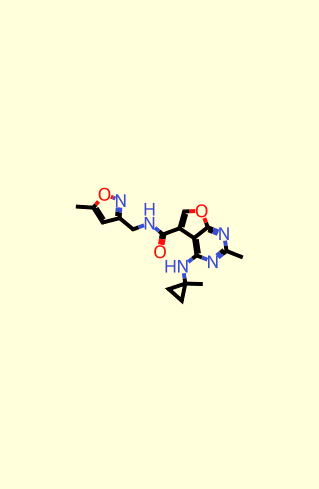 Cc1nc(NC2(C)CC2)c2c(C(=O)NCc3cc(C)on3)coc2n1